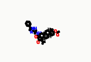 CC(=O)O[C@H]1CC[C@]2(C)[C@H]3CC[C@@H]4C5=C(C(C)C)C(=O)C[C@]5(C(=O)NC(C)(C)c5ncc(-c6ccccc6)[nH]5)CC[C@@]4(C)[C@]3(C)CC[C@H]2C1(C)C